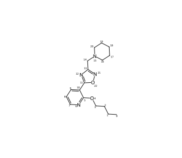 CCCCOc1ncccc1-c1nc(CN2CCCCC2)no1